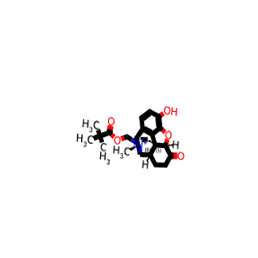 CC(C)(C)C(=O)OC[N@+]1(C)CC[C@]23c4c5ccc(O)c4O[C@H]2C(=O)CC[C@H]3C1C5